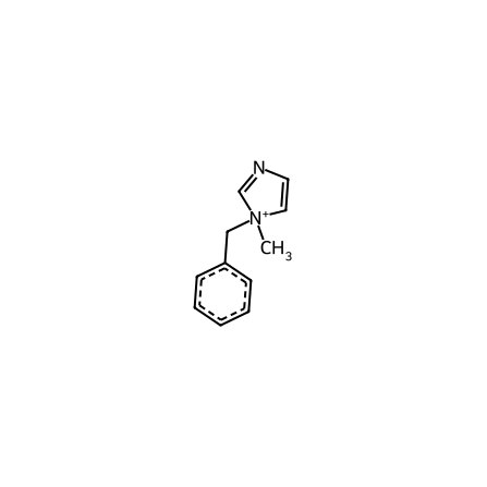 C[N+]1(Cc2ccccc2)C=CN=C1